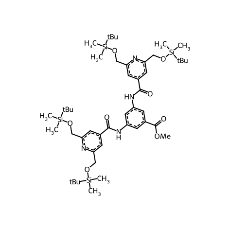 COC(=O)c1cc(NC(=O)c2cc(CO[Si](C)(C)C(C)(C)C)nc(CO[Si](C)(C)C(C)(C)C)c2)cc(NC(=O)c2cc(CO[Si](C)(C)C(C)(C)C)nc(CO[Si](C)(C)C(C)(C)C)c2)c1